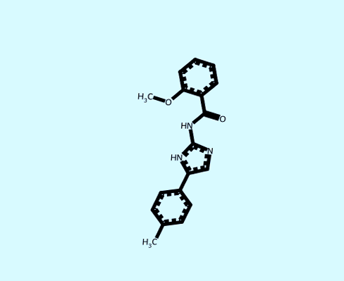 COc1ccccc1C(=O)Nc1ncc(-c2ccc(C)cc2)[nH]1